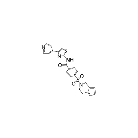 O=C(Nc1nc(-c2ccncc2)cs1)c1ccc(S(=O)(=O)N2CCc3ccccc3C2)cc1